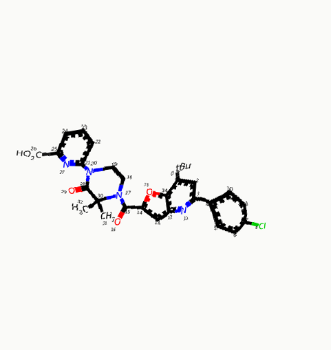 CC(C)(C)c1cc(-c2ccc(Cl)cc2)nc2cc(C(=O)N3CCN(c4cccc(C(=O)O)n4)C(=O)C3(C)C)oc12